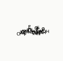 O=C(O)c1cc2c(nc(CN3CC=C(c4cc(F)cc(OCc5ccc(Cl)cc5F)n4)CC3)n2C[C@@H]2CCO2)[nH]1